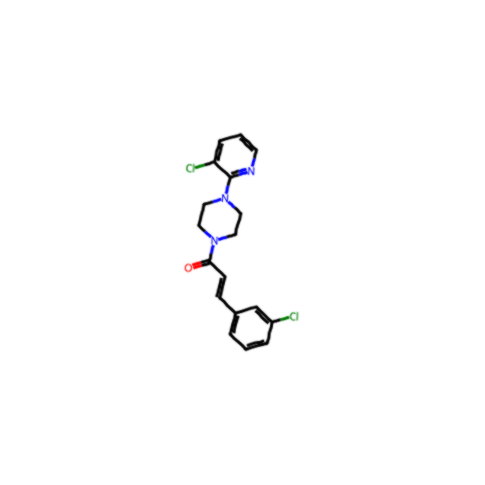 O=C(/C=C/c1cccc(Cl)c1)N1CCN(c2ncccc2Cl)CC1